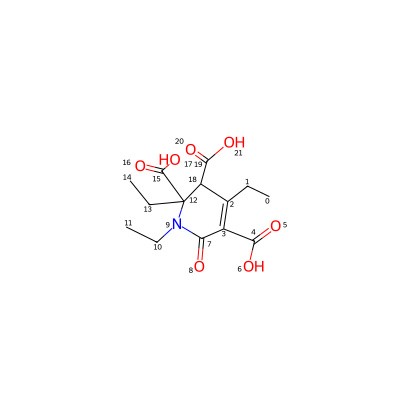 CCC1=C(C(=O)O)C(=O)N(CC)C(CC)(C(=O)O)C1C(=O)O